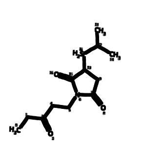 CCC(=O)CCN1C(=O)CC([SiH2]C(C)C)C1=O